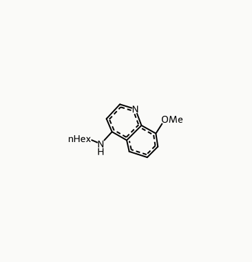 CCCCCCNc1ccnc2c(OC)cccc12